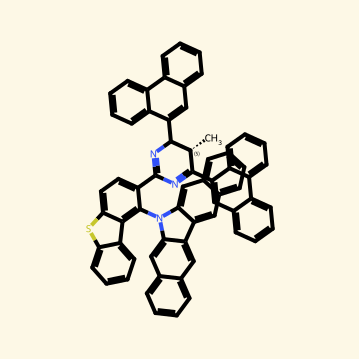 C[C@@H]1C(c2cc3ccccc3c3ccccc23)=NC(c2ccc3sc4ccccc4c3c2-n2c3cc4ccccc4cc3c3cc4ccccc4cc32)=NC1c1cc2ccccc2c2ccccc12